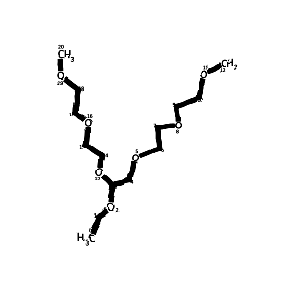 CCOC(COCCOCCOC)OCCOCCOC